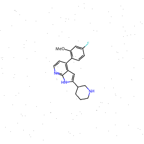 COc1cc(F)ccc1-c1ccnc2[nH]c(C3CCCNC3)cc12